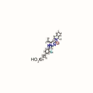 C[C@@H]1c2ccccc2CCN1C(=O)c1cc(C2CC2)n2nc(-c3ccc([C@H]4C[C@@H](CC(=O)O)C4)cc3F)cc2n1